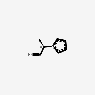 C[C@H](C=N)n1cccc1